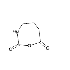 O=C1CCCNC(=O)O1